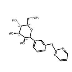 OC[C@H]1OC(c2cccc(Oc3ncccn3)c2)[C@@H](O)[C@@H](O)[C@@H]1O